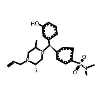 C=CCN1CC(C)N([C@H](c2ccc(S(=O)(=O)N(C)C)cc2)c2cccc(O)c2)C[C@@H]1C